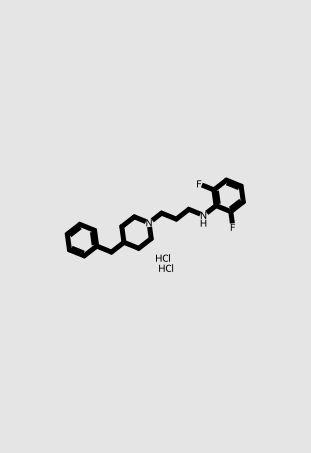 Cl.Cl.Fc1cccc(F)c1NCCCN1CCC(Cc2ccccc2)CC1